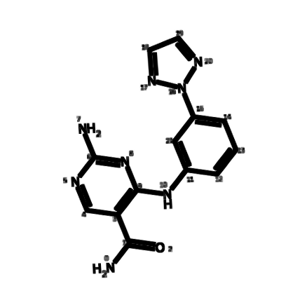 NC(=O)c1cnc(N)nc1Nc1cccc(-n2nccn2)c1